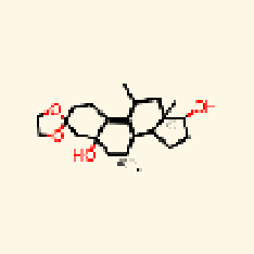 CC1C[C@]2(C)C(O)CCC2C2C1=C1CCC3(CC1(O)C[C@H]2C)OCCO3